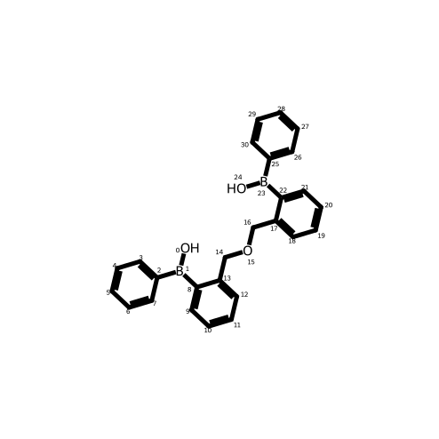 OB(c1ccccc1)c1ccccc1COCc1ccccc1B(O)c1ccccc1